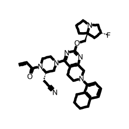 C=CC(=O)N1CCN(c2nc(OC[C@@]34CCCN3C[C@H](F)C4)nc3c2CCN(c2cccc4c2CCCC4)C3)C[C@@H]1CC#N